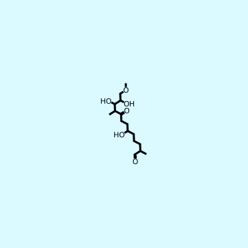 COCC(O)C(O)C(C)C(=O)CCC(O)CCCC(C)C=O